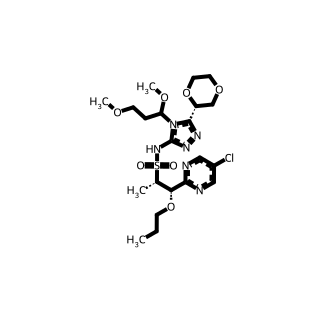 CCCO[C@@H](c1ncc(Cl)cn1)[C@H](C)S(=O)(=O)Nc1nnc([C@H]2COCCO2)n1C(CCOC)OC